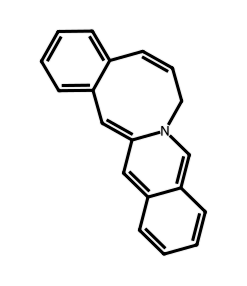 C1=Cc2ccccc2C=C2C=c3ccccc3=CN2C1